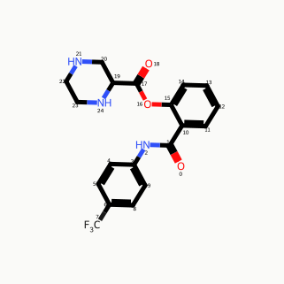 O=C(Nc1ccc(C(F)(F)F)cc1)c1ccccc1OC(=O)C1CNCCN1